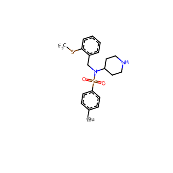 CC(C)(C)c1ccc(S(=O)(=O)N(Cc2ccccc2SC(F)(F)F)C2CCNCC2)cc1